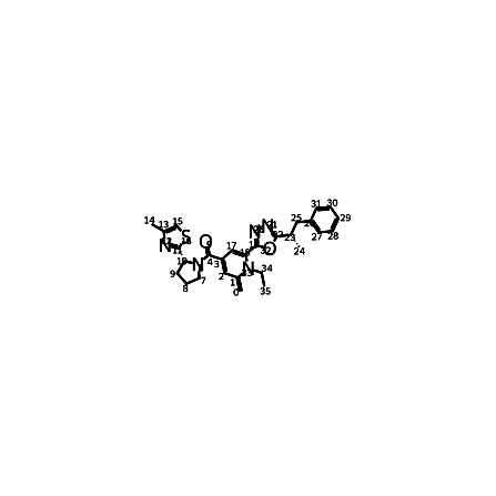 C=C1C=C(C(=O)N2CCC[C@@H]2c2nc(C)cs2)C=C(c2nnc([C@@H](C)Cc3ccccc3)o2)N1CC